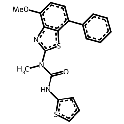 COc1ccc(-c2ccccc2)c2sc(N(C)C(=O)Nc3cccs3)nc12